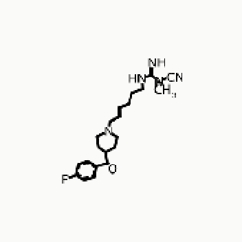 CN(C#N)C(=N)NCCCCCCN1CCC(C(=O)c2ccc(F)cc2)CC1